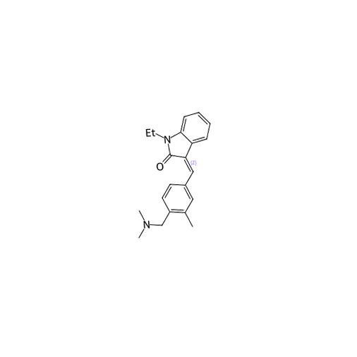 CCN1C(=O)/C(=C\c2ccc(CN(C)C)c(C)c2)c2ccccc21